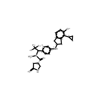 CN(C(=O)[C@@H]1CNC(=O)C1)C(c1ccc(NC2Cc3ccc(Cl)c(C4CC4)c3C2)cn1)C(F)(F)F